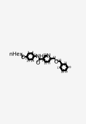 CCCCCCOc1ccc(NC(=O)c2ccc(COCc3ccccc3)nc2)cc1